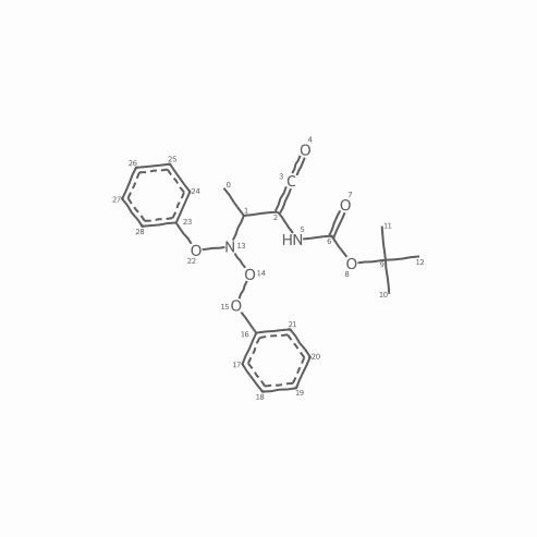 CC(C(=C=O)NC(=O)OC(C)(C)C)N(OOc1ccccc1)Oc1ccccc1